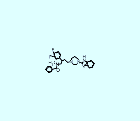 CN(CC(CCN1CCCN(c2nc3ccccc3[nH]2)CC1)c1ccc(F)c(F)c1)C(=O)c1ccccc1